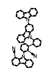 N#Cc1c(-c2ccccc2-n2c3ccccc3c3cc(-n4c5ccccc5c5ccccc54)ccc32)cccc1-n1c2ccccc2c2cccc(C#N)c21